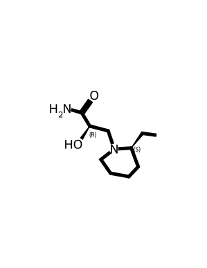 CC[C@H]1CCCCN1C[C@@H](O)C(N)=O